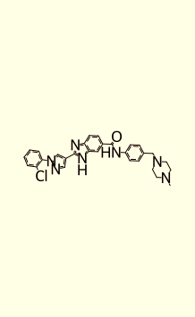 CN1CCN(Cc2ccc(NC(=O)c3ccc4nc(-c5cnn(-c6ccccc6Cl)c5)[nH]c4c3)cc2)CC1